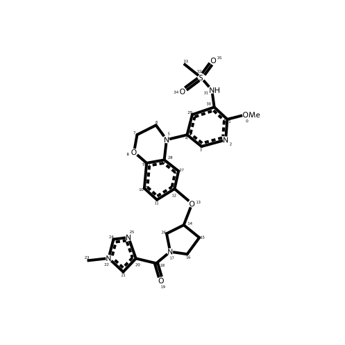 COc1ncc(N2CCOc3ccc(OC4CCN(C(=O)c5cn(C)cn5)C4)cc32)cc1NS(C)(=O)=O